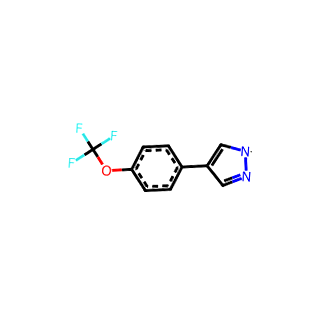 FC(F)(F)Oc1ccc(C2=C[N]N=C2)cc1